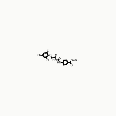 CCCCOC(=O)c1ccc(NC(=S)NC(=O)COc2c(Cl)cc(Cl)cc2Cl)cc1